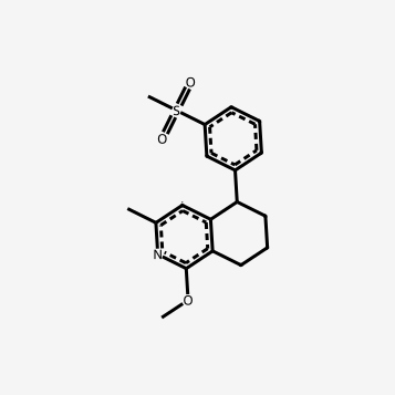 COc1nc(C)[c]c2c1CCCC2c1cccc(S(C)(=O)=O)c1